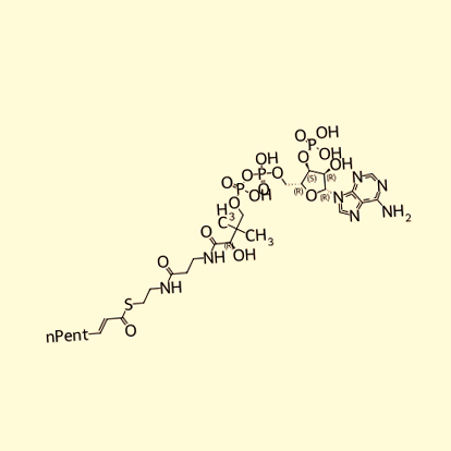 CCCCCC=CC(=O)SCCNC(=O)CCNC(=O)[C@H](O)C(C)(C)COP(=O)(O)OP(=O)(O)OC[C@H]1O[C@@H](n2cnc3c(N)ncnc32)[C@H](O)[C@@H]1OP(=O)(O)O